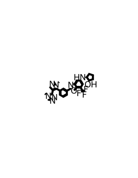 Cn1cnnc1-c1cnn(C)c1-c1cccc(-c2nc3cc(N[C@H]4CCC[C@@H]4O)cc(C(F)(F)F)c3o2)c1